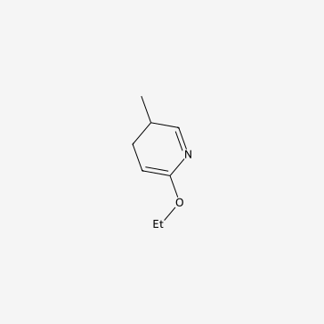 CCOC1=CCC(C)C=N1